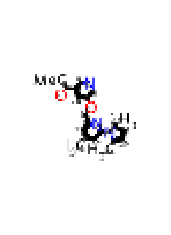 COC(=O)c1cncc(OCc2cc(C)cc(-n3c(C)ccc3C)n2)c1